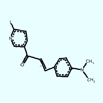 CN(C)c1ccc(/C=C/C(=O)c2ccc(I)nc2)cc1